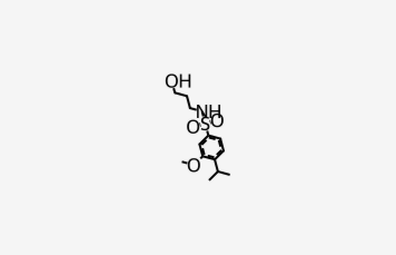 COc1cc(S(=O)(=O)NCCCO)ccc1C(C)C